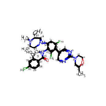 CC1CN(c2ncc(-c3c(F)cc(N4C[C@@H](C)N(C)[C@@H](C)C4)c(N(C(=O)O)C(=O)c4ccc(F)cc4C(F)(F)F)c3F)cn2)CCO1